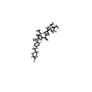 C=C(c1nc(Nc2ccc(CC(=O)N3CCN(C)CC3)nc2)nn1/C=C\C)N1CC(CC#N)(n2cc(CC)cn2)C1